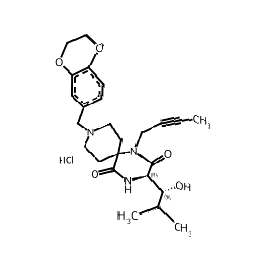 CC#CCN1C(=O)[C@@H]([C@H](O)C(C)C)NC(=O)C12CCN(Cc1ccc3c(c1)OCCO3)CC2.Cl